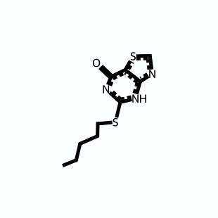 CCCCCSc1nc(=O)c2scnc2[nH]1